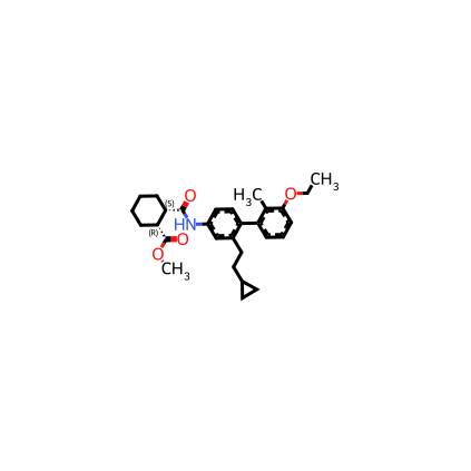 CCOc1cccc(-c2ccc(NC(=O)[C@H]3CCCC[C@H]3C(=O)OC)cc2CCC2CC2)c1C